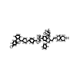 O=C(NS(=O)(=O)c1ccc(NC(CCN2CCC3(CCNCC3)CC2)CSc2ccccc2)c(S(=O)(=O)C(F)(F)F)c1)c1ccc(N2CCC(C(O)c3ccccc3-c3ccc(Cl)cc3)CC2)cc1